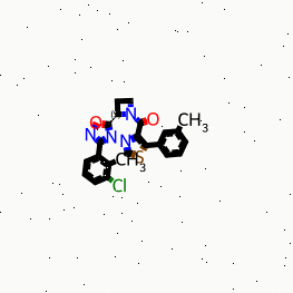 Cc1cccc(-c2scnc2C(=O)N2CC[C@H]2c2nc(-c3cccc(Cl)c3C)no2)c1